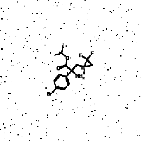 CC(C)OC(=O)C(N)(C[C@]1(C)CC1(F)F)c1ccc(Br)cc1